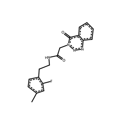 Cc1ccc(CCNC(=O)Cn2nnc3ccccc3c2=O)c(F)c1